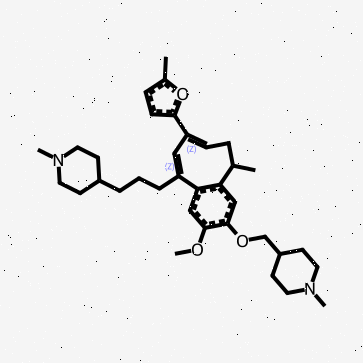 COc1cc2c(cc1OCC1CCN(C)CC1)C(C)C/C=C(c1ccc(C)o1)/C=C\2CCCC1CCN(C)CC1